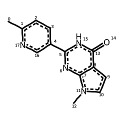 Cc1ccc(-c2nc3c(ccn3C)c(=O)[nH]2)cn1